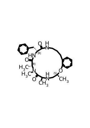 CC1NC[C@H](C)Oc2ccccc2CCCNC(=O)[C@@H](Cc2ccccc2)NC(=O)[C@@H](C)N(C)C1=O